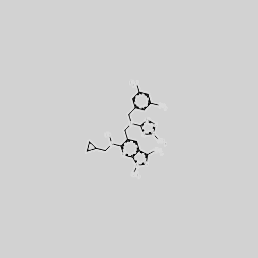 CCN(CC1CC1)c1nc2c(cc1CN(Cc1cc(C)cc(C(F)(F)F)c1)c1nnn(C)n1)c(C)nn2C